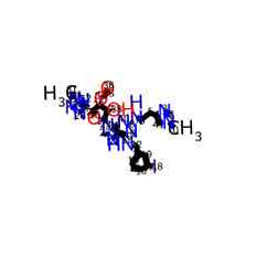 Cn1cnc(CCNc2nc(NCc3cccc(I)c3)c3ncn([C@@H]4O[C@H](c5nnn(C)n5)[C@@H](OC=O)[C@H]4O)c3n2)c1